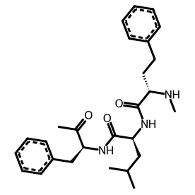 CN[C@@H](CCc1ccccc1)C(=O)N[C@@H](CC(C)C)C(=O)N[C@@H](Cc1ccccc1)C(C)=O